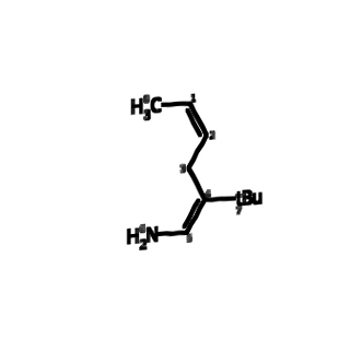 C/C=C\C/C(=C\N)C(C)(C)C